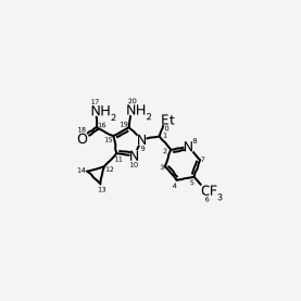 CCC(c1ccc(C(F)(F)F)cn1)n1nc(C2CC2)c(C(N)=O)c1N